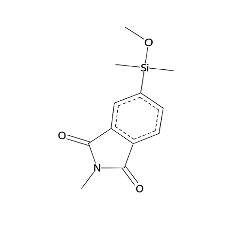 CO[Si](C)(C)c1ccc2c(c1)C(=O)N(C)C2=O